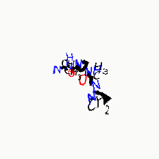 C=N/C(=N\C=C(/C)C(=O)Nc1ccnc(C(=O)NC(C)(C)C#N)c1)C1CC1